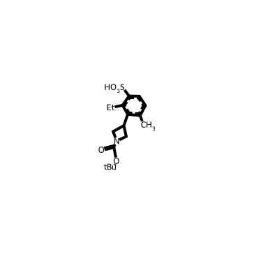 CCc1c(S(=O)(=O)O)ccc(C)c1C1CN(C(=O)OC(C)(C)C)C1